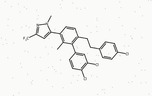 Cc1c(-c2cc(C(F)(F)F)nn2C)ccc(CCc2ccc(Cl)cc2)c1-c1ccc(Cl)c(Cl)c1